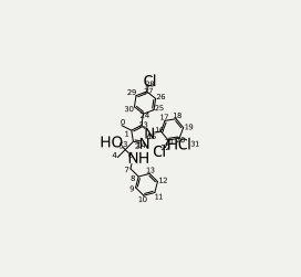 Cc1c(C(C)(O)NCc2ccccc2)nn(-c2ccccc2Cl)c1-c1ccc(Cl)cc1.Cl